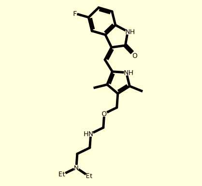 CCN(CC)CCNCOCc1c(C)[nH]c(/C=C2\C(=O)Nc3ccc(F)cc32)c1C